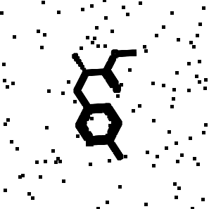 COC(=O)[C@@H](C)Cc1ccc(C)nc1